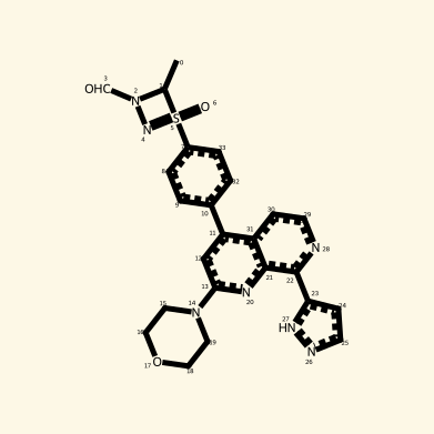 CC1N(C=O)N=S1(=O)c1ccc(-c2cc(N3CCOCC3)nc3c(-c4ccn[nH]4)nccc23)cc1